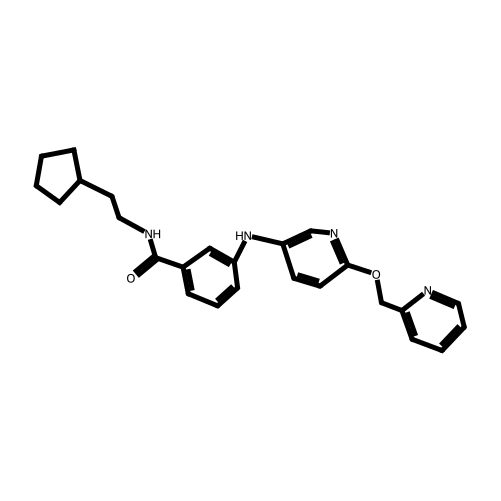 O=C(NCCC1CCCC1)c1cccc(Nc2ccc(OCc3ccccn3)nc2)c1